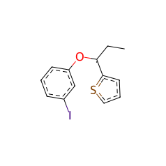 CC[C](Oc1cccc(I)c1)c1cccs1